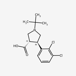 CC(C)(C)N1C[C@@H](C(=O)O)[C@H](c2cccc(Cl)c2Cl)C1